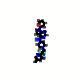 Cc1cnc(C(F)(F)CN2CCC(Nc3ncnc4c3cnn4C3CCCCO3)CC2)c(F)c1